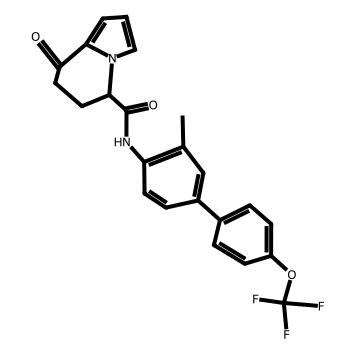 Cc1cc(-c2ccc(OC(F)(F)F)cc2)ccc1NC(=O)C1CCC(=O)c2cccn21